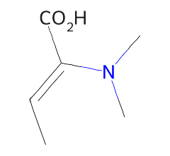 CC=C(C(=O)O)N(C)C